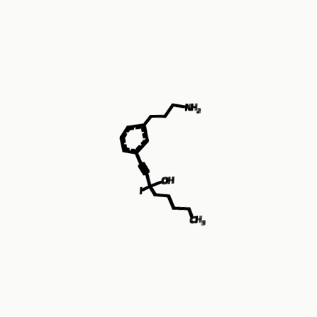 CCCCCC(O)(I)C#Cc1cccc(CCCN)c1